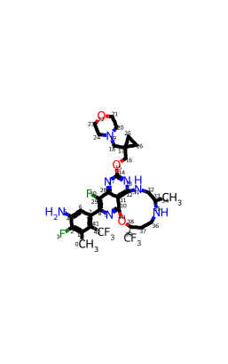 Cc1c(F)c(N)cc(-c2nc3c4c(nc(OCC5(CN6CCOCC6)CC5)nc4c2F)NCC(C)NCC[C@H](C(F)(F)F)O3)c1C(F)(F)F